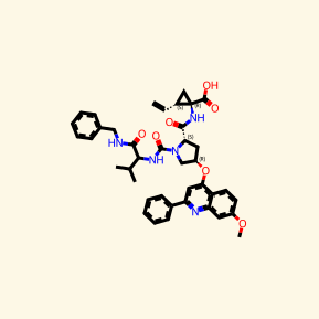 C=C[C@@H]1C[C@]1(NC(=O)[C@@H]1C[C@@H](Oc2cc(-c3ccccc3)nc3cc(OC)ccc23)CN1C(=O)NC(C(=O)NCc1ccccc1)C(C)C)C(=O)O